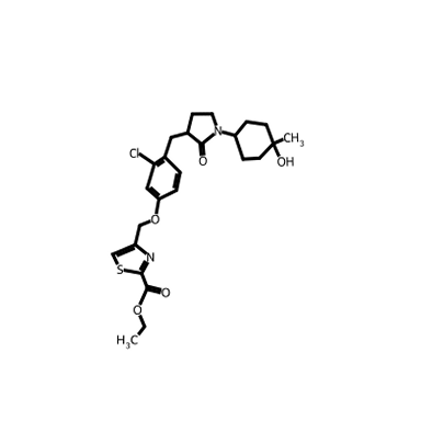 CCOC(=O)c1nc(COc2ccc(CC3CCN(C4CCC(C)(O)CC4)C3=O)c(Cl)c2)cs1